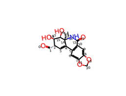 O=C[C@H]1C=C2c3cc4c(cc3C(=O)N[C@H]2[C@H](O)[C@@H]1O)OCO4